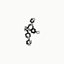 Clc1ccc2c(c1)CN([C@@H]1CCOC1)Cc1nnc(C3CCN(c4ccncn4)CC3)n1-2